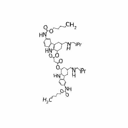 C=CCCCOC(=O)Nc1ccc2[nH]c3c(c2c1)CC(CNCC(C)C)CC3OC(=O)CC(=O)OC1CC(CNCC(C)C)Cc2c1[nH]c1ccc(NC(=O)OCCCC=C)cc21